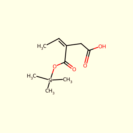 CC=C(CC(=O)O)C(=O)O[Si](C)(C)C